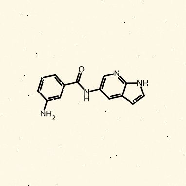 Nc1cccc(C(=O)Nc2cnc3[nH]ccc3c2)c1